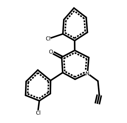 C#CCn1cc(-c2cccc(Cl)c2)c(=O)c(-c2ccccc2Cl)c1